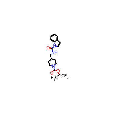 O=C(OC(C(F)(F)F)C(F)(F)F)N1CCC(CNC(=O)n2ccc3ccccc32)CC1